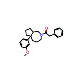 COc1cccc(C23CCCC2CN(C(=O)Cc2ccccc2)CCC3)c1